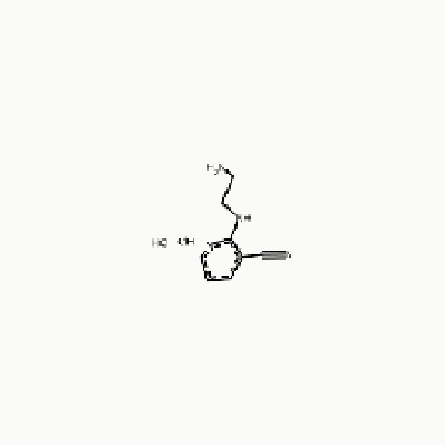 Cl.Cl.N#Cc1cccnc1NCCN